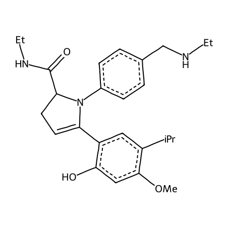 CCNCc1ccc(N2C(c3cc(C(C)C)c(OC)cc3O)=CCC2C(=O)NCC)cc1